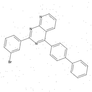 Brc1cccc(-c2nc(-c3ccc(-c4ccccc4)cc3)c3cccnc3n2)c1